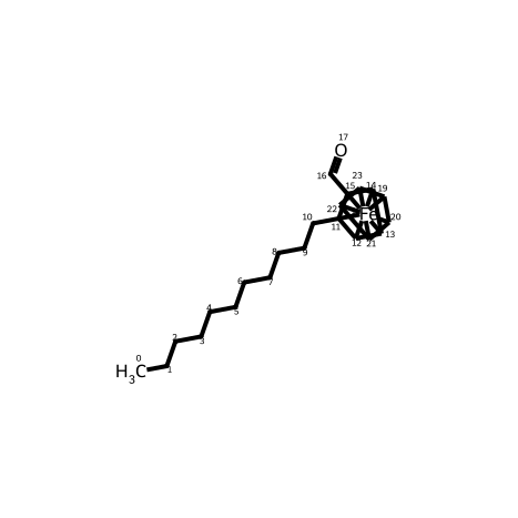 CCCCCCCCCCC[C]12[CH]3[CH]4[CH]5[C]1(C=O)[Fe]45321678[CH]2[CH]1[CH]6[CH]7[CH]28